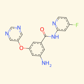 Nc1cc(Oc2cncnc2)cc(C(=O)Nc2cc(F)ccn2)c1